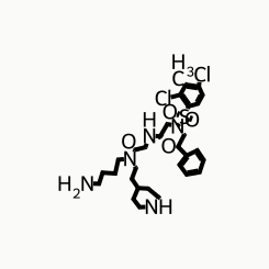 Cc1c(Cl)ccc(S(=O)(=O)N(CCc2ccccc2)CC(=O)NCC(=O)N(CCCCN)CCC2CCNCC2)c1Cl